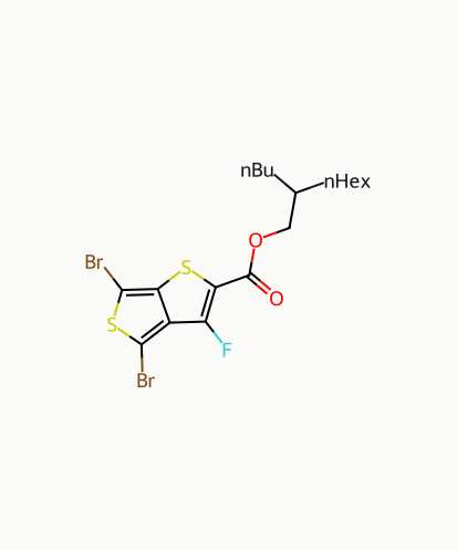 CCCCCCC(CCCC)COC(=O)c1sc2c(Br)sc(Br)c2c1F